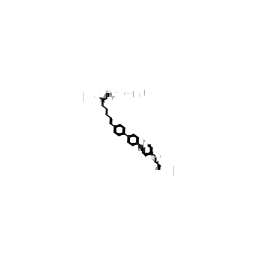 C=CCOc1cnc(-c2ccc(-c3ccc(C=CCCCC(C)OCCCCC)cc3)cc2)nc1